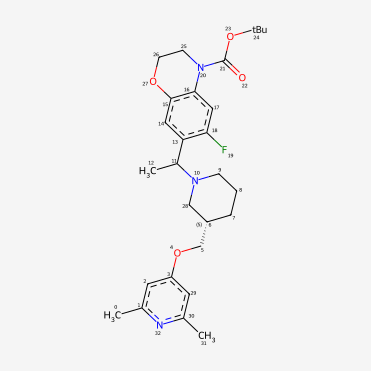 Cc1cc(OC[C@H]2CCCN(C(C)c3cc4c(cc3F)N(C(=O)OC(C)(C)C)CCO4)C2)cc(C)n1